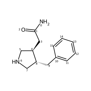 NC(=O)C[C@@H]1CNC[C@H]1Cc1ccccc1